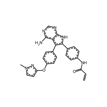 C=CC(=O)Nc1ccc(-c2[nH]c3ncnc(N)c3c2-c2ccc(Oc3ccn(C)n3)cc2)cc1